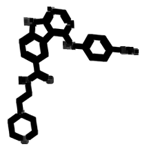 COc1ccc(Nc2ncnc3[nH]c4ccc(C(=O)NCCN5CCOCC5)cc4c23)cc1